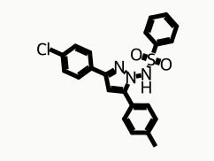 Cc1ccc(-c2cc(-c3ccc(Cl)cc3)nn2NS(=O)(=O)c2ccccc2)cc1